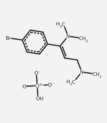 CN(C)C/C=C(/c1ccc(Br)cc1)N(C)C.[O-][Cl+3]([O-])([O-])O